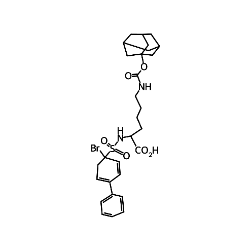 O=C(NCCCCC(NS(=O)(=O)C1(Br)C=CC(c2ccccc2)=CC1)C(=O)O)OC12CC3CC(CC(C3)C1)C2